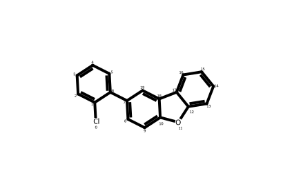 Clc1ccccc1-c1ccc2oc3ccccc3c2c1